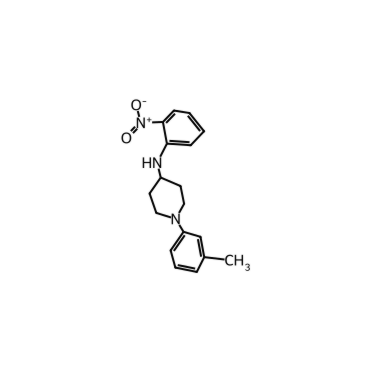 Cc1cccc(N2CCC(Nc3ccccc3[N+](=O)[O-])CC2)c1